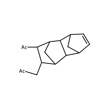 CC(=O)CC1C2CC(C1C(C)=O)C1C3C=CC(C3)C21